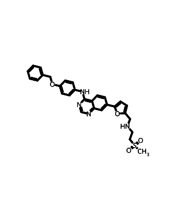 CS(=O)(=O)CCNCc1ccc(-c2ccc3c(Nc4ccc(OCc5ccccc5)cc4)ncnc3c2)o1